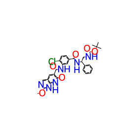 COc1ncc2cc(C(=O)Nc3cc(C(=O)N[C@@H](CNC(=O)OC(C)(C)C)c4ccccc4)ccc3Cl)c(=O)[nH]c2n1